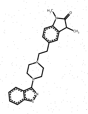 CC1C(=O)N(C)c2ccc(CCN3CCN(c4nsc5ccccc45)CC3)cc21